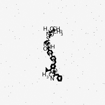 CN(C(=O)/C(C#N)=C/c1ccccc1)C(c1ccc(CN2CCC(N3CCC(C(=O)Nc4ncc(SCc5ncc(C(C)(C)C)o5)s4)CC3)CC2)cc1)C1CC1